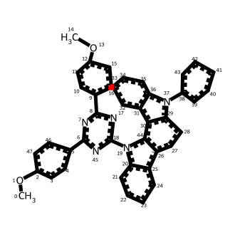 COc1ccc(-c2nc(-c3ccc(OC)cc3)nc(-n3c4ccccc4c4ccc5c(c6ccccc6n5-c5ccccc5)c43)n2)cc1